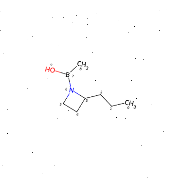 CCCC1CCN1B(C)O